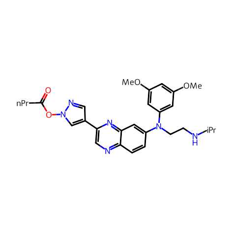 CCCC(=O)On1cc(-c2cnc3ccc(N(CCNC(C)C)c4cc(OC)cc(OC)c4)cc3n2)cn1